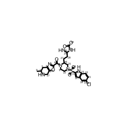 CC1Cc2nc(C(=O)N3CCN(S(=O)(=O)c4cc5cc(Cl)ccc5[nH]4)CC3CCC3NOC(=O)N3)oc2CN1